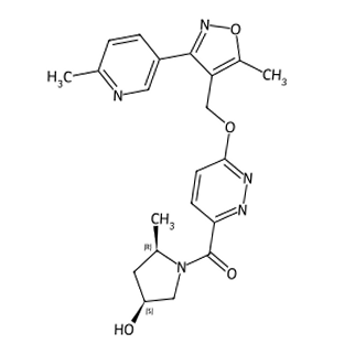 Cc1ccc(-c2noc(C)c2COc2ccc(C(=O)N3C[C@@H](O)C[C@H]3C)nn2)cn1